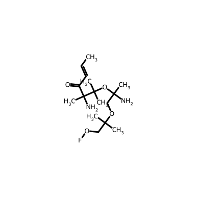 C/C=C/C(=O)C(C)(N)C(C)(C)OC(C)(N)COC(C)(C)COF